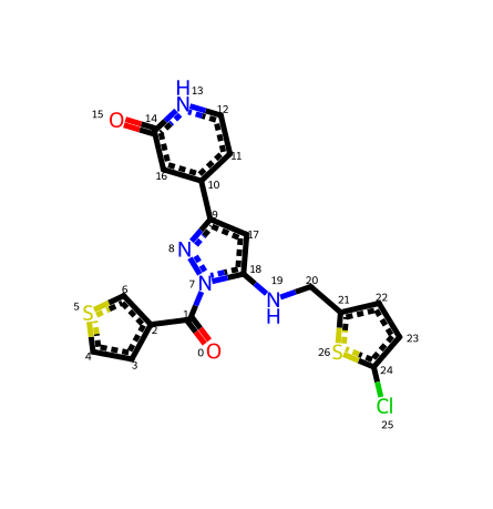 O=C(c1ccsc1)n1nc(-c2cc[nH]c(=O)c2)cc1NCc1ccc(Cl)s1